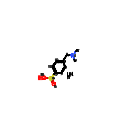 CN(C)Cc1ccc(S(=O)O)cc1.[LiH]